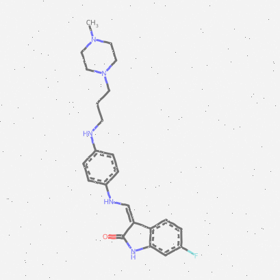 CN1CCN(CCCNc2ccc(NC=C3C(=O)Nc4cc(F)ccc43)cc2)CC1